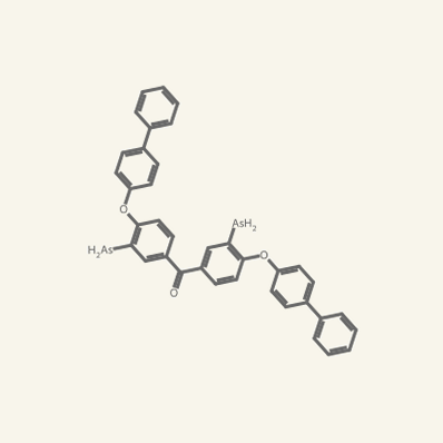 O=C(c1ccc(Oc2ccc(-c3ccccc3)cc2)c([AsH2])c1)c1ccc(Oc2ccc(-c3ccccc3)cc2)c([AsH2])c1